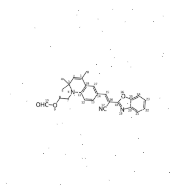 CC1=CC(C)(C)N(CCOC=O)c2ccc(/C=C(\C#N)c3nc4ccccc4o3)cc21